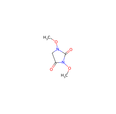 CON1CC(=O)N(OC)C1=O